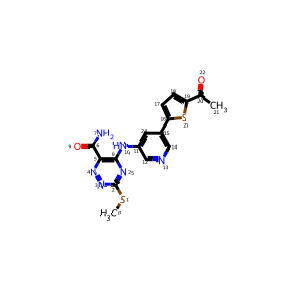 CSc1nnc(C(N)=O)c(Nc2cncc(-c3ccc(C(C)=O)s3)c2)n1